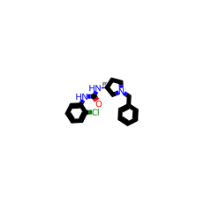 O=C(Nc1ccccc1Cl)N[C@@H]1CCN(Cc2ccccc2)C1